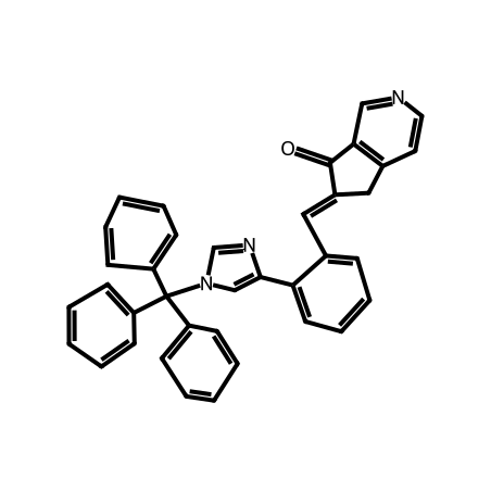 O=C1/C(=C/c2ccccc2-c2cn(C(c3ccccc3)(c3ccccc3)c3ccccc3)cn2)Cc2ccncc21